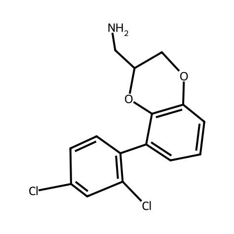 NCC1COc2cccc(-c3ccc(Cl)cc3Cl)c2O1